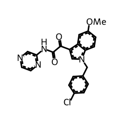 COc1ccc2c(c1)c(C(=O)C(=O)Nc1cnccn1)cn2Cc1ccc(Cl)cc1